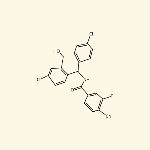 N#Cc1ccc(C(=O)NC(c2ccc(Cl)cc2)c2ccc(Cl)cc2CO)cc1F